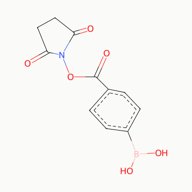 O=C(ON1C(=O)CCC1=O)c1ccc(B(O)O)cc1